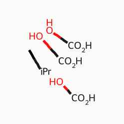 CC(C)C.O=C(O)O.O=C(O)O.O=C(O)O